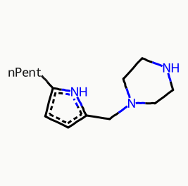 CCCCCc1ccc(CN2CCNCC2)[nH]1